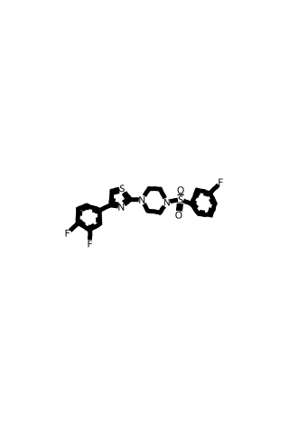 O=S(=O)(c1cccc(F)c1)N1CCN(c2nc(-c3ccc(F)c(F)c3)cs2)CC1